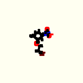 Cc1ccc([N+](=O)[O-])cc1OCCBr